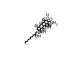 C=CCCCCCCC(O)CNc1cc(N(C)C)c2c(c1O)C(=O)C1=C(O)[C@]3(O)C(=O)C(C(N)=O)=C(O)[C@@H](N(C)C)[C@@H]3C[C@@H]1C2